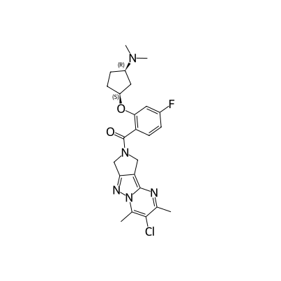 Cc1nc2c3c(nn2c(C)c1Cl)CN(C(=O)c1ccc(F)cc1O[C@H]1CC[C@@H](N(C)C)C1)C3